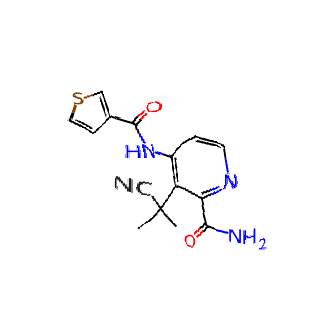 CC(C)(C#N)c1c(NC(=O)c2ccsc2)ccnc1C(N)=O